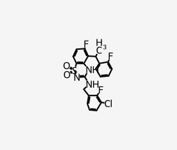 CC(c1ccccc1F)c1c(F)ccc2c1NC(NCc1cccc(Cl)c1F)=NS2(=O)=O